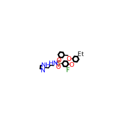 CCc1ccc(Oc2ccc(S(=O)(=O)NCCCc3ncc[nH]3)cc2F)c(OCc2ccccc2)c1